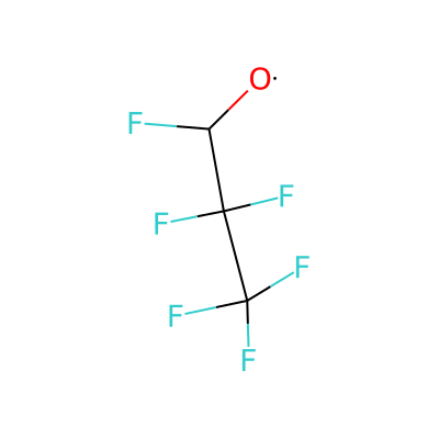 [O]C(F)C(F)(F)C(F)(F)F